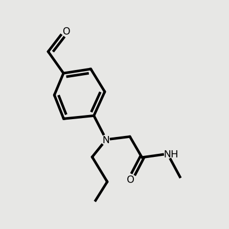 CCCN(CC(=O)NC)c1ccc(C=O)cc1